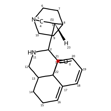 O=C1C([C@@H]2CN3CCC2CC3)NCC2CCC=C3C=CC=CC132